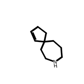 C1=CC2(CC1)CCCNCC2